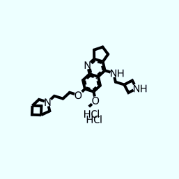 COc1cc2c(NCC3CNC3)c3c(nc2cc1OCCCN1CC2CC(C2)C1)CCC3.Cl.Cl